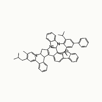 Cc1c[n+]2c(cc1CC(C)C)-c1ccccc1C1c3c([n+]4c5ccccc5n(-c5c(C(C)C)cc(-c6ccccc6)cc5C(C)C)c4c4c3ccc3c5ccccc5oc34)CC12